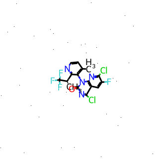 Cc1ccnc([C@H](C)C(F)(F)F)c1-n1c(=O)nc(Cl)c2cc(F)c(Cl)nc21